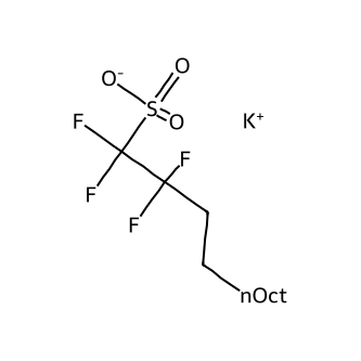 CCCCCCCCCCC(F)(F)C(F)(F)S(=O)(=O)[O-].[K+]